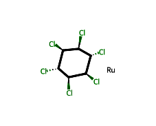 Cl[C@H]1[C@H](Cl)[C@@H](Cl)[C@@H](Cl)[C@H](Cl)[C@H]1Cl.[Ru]